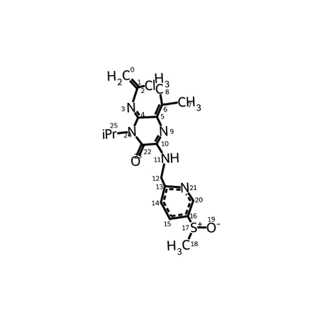 C=C(Cl)/N=C1\C(=C(C)C)N=C(NCc2ccc([S+](C)[O-])cn2)C(=O)N1C(C)C